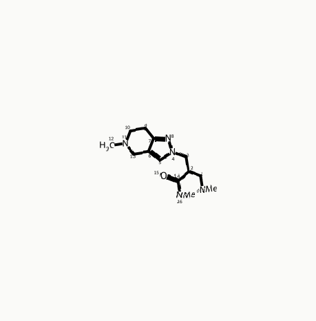 CNCC(Cn1cc2c(n1)CCN(C)C2)C(=O)NC